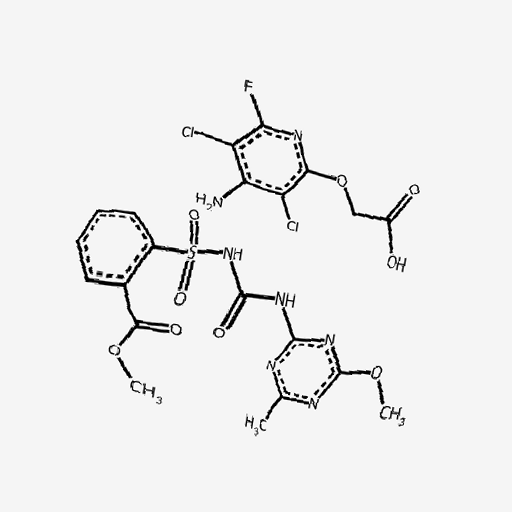 COC(=O)c1ccccc1S(=O)(=O)NC(=O)Nc1nc(C)nc(OC)n1.Nc1c(Cl)c(F)nc(OCC(=O)O)c1Cl